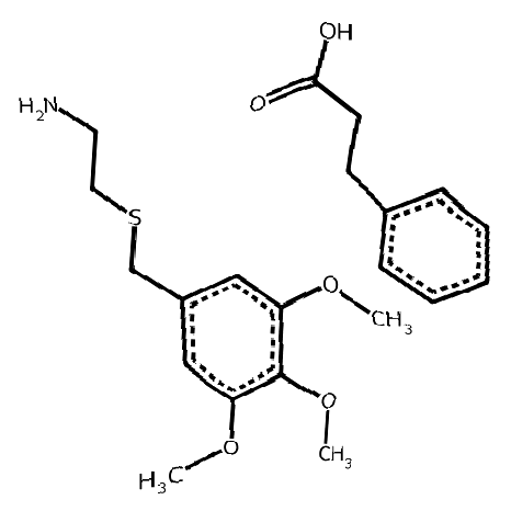 COc1cc(CSCCN)cc(OC)c1OC.O=C(O)CCc1ccccc1